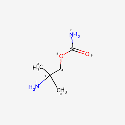 CC(C)(N)COC(N)=O